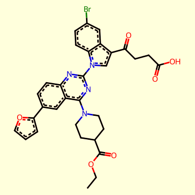 CCOC(=O)C1CCN(c2nc(-n3cc(C(=O)CCC(=O)O)c4cc(Br)ccc43)nc3ccc(-c4ccco4)cc23)CC1